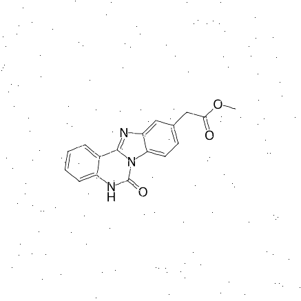 COC(=O)Cc1ccc2c(c1)nc1c3ccccc3[nH]c(=O)n21